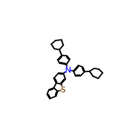 c1ccc2c(c1)sc1cc(N(c3ccc(C4CCCCC4)cc3)c3ccc(C4CCCCC4)cc3)ccc12